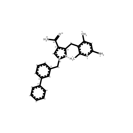 Cc1cc(N)nc(C)c1Cc1nn(Cc2cccc(-c3ccccc3)c2)cc1C(N)=O